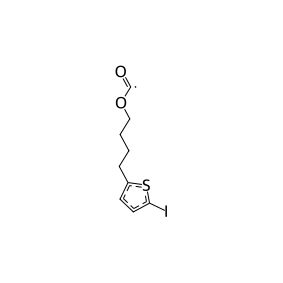 O=[C]OCCCCc1ccc(I)s1